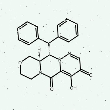 O=C1c2c(O)c(=O)cnn2[C@@H](C(c2ccccc2)c2ccccc2)[C@@H]2COCCN12